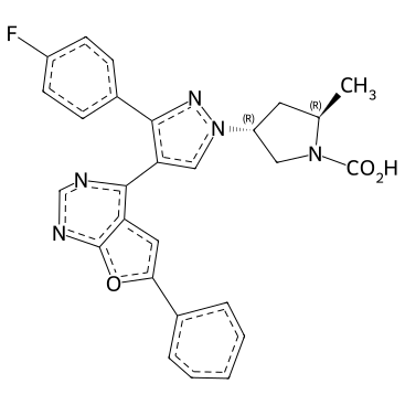 C[C@@H]1C[C@@H](n2cc(-c3ncnc4oc(-c5ccccc5)cc34)c(-c3ccc(F)cc3)n2)CN1C(=O)O